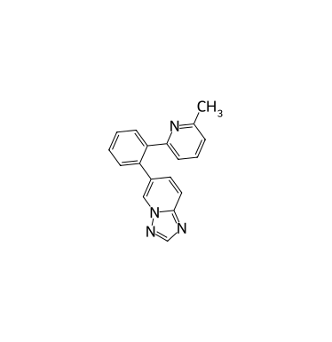 Cc1cccc(-c2ccccc2-c2ccc3ncnn3c2)n1